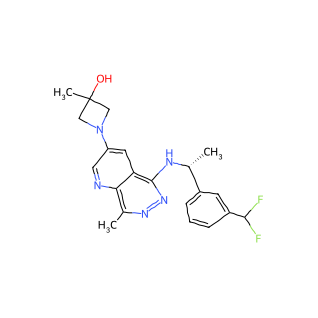 Cc1nnc(N[C@H](C)c2cccc(C(F)F)c2)c2cc(N3CC(C)(O)C3)cnc12